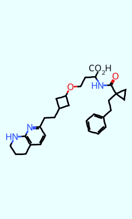 O=C(O)C(CCOC1CC(CCc2ccc3c(n2)NCCC3)C1)NC(=O)C1(CCc2ccccc2)CC1